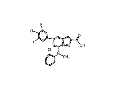 CN(c1ccccc1Cl)c1cc(-c2cc(F)c(Cl)c(F)c2)nc2cc(C(=O)O)nn12